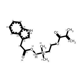 C=C(C)C(=O)OCC[N+](C)(C)NOC(=O)Cc1c[nH]c2ccccc12